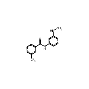 NNc1cccc(NC(=O)c2cccc(C(F)(F)F)c2)c1